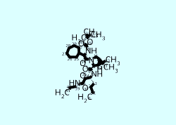 C=CCC[C@@H](NC(=O)[C@@H]1[C@@H]2C(CN1C(=O)C(NC(=O)OC(C)(C)C)C1CCCCCC1)C2(C)C)C(=O)C(=O)NCC=C